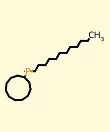 CCCCCCCCCCCC[P]C1CCCCCCCCCC1